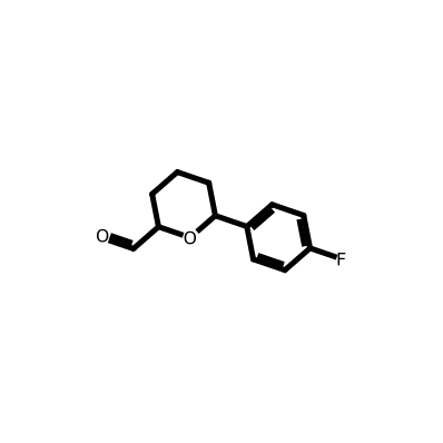 O=CC1CCCC(c2ccc(F)cc2)O1